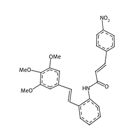 COc1cc(C=Cc2ccccc2NC(=O)/C=C/c2ccc([N+](=O)[O-])cc2)cc(OC)c1OC